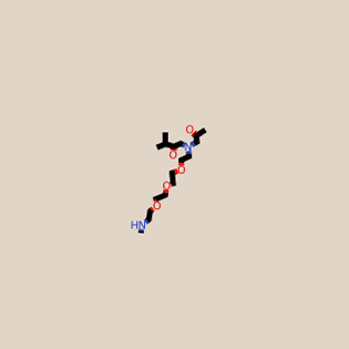 CNCCOCCOCCOCCN(CC(C)=O)CC(=O)C(C)C